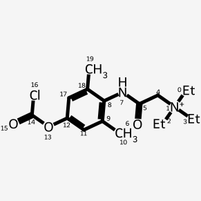 CC[N+](CC)(CC)CC(=O)Nc1c(C)cc(OC(=O)Cl)cc1C